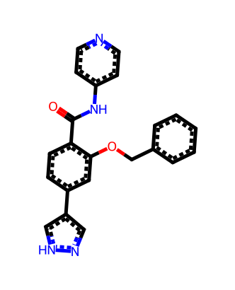 O=C(Nc1ccncc1)c1ccc(-c2cn[nH]c2)cc1OCc1ccccc1